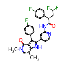 Cc1cn(C)c(=O)c2c(-c3ccc(F)cc3)c(-c3ccnc(NC(=O)[C@H](CC(F)F)c4ccc(F)cc4)c3)[nH]c12